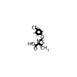 Cc1sc(Oc2ccc(Cl)cc2)nc1C(=O)O